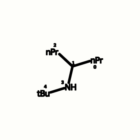 CCCC(CCC)NC(C)(C)C